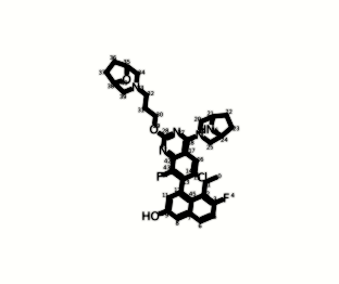 CCc1c(F)ccc2cc(O)cc(-c3c(Cl)cc4c(N5CC6CCC(C5)N6)nc(OCCCN5CC6CCC(C5)O6)nc4c3F)c12